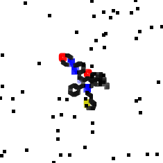 CC1(C)CN(CCc2cccs2)C(c2ccccc2)/C(=C/c2cccc(N3CCOCC3)n2)C1=O